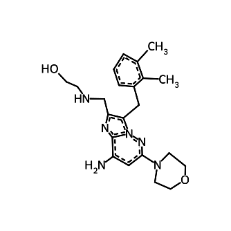 Cc1cccc(Cc2c(CNCCO)nc3c(N)cc(N4CCOCC4)nn23)c1C